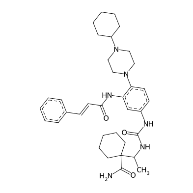 CC(NC(=O)Nc1ccc(N2CCN(C3CCCCC3)CC2)c(NC(=O)C=Cc2ccccc2)c1)C1(C(N)=O)CCCCC1